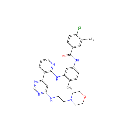 Cc1ccc(NC(=O)c2ccc(Cl)c(C(F)(F)F)c2)cc1Nc1ncccc1-c1cc(NCCN2CCOCC2)ncn1